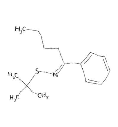 CCCCC(=NSC(C)(C)C)c1ccccc1